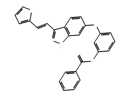 O=C(Nc1cccc(Oc2ccc3c(C=Cc4ccco4)n[nH]c3c2)c1)c1ccccc1